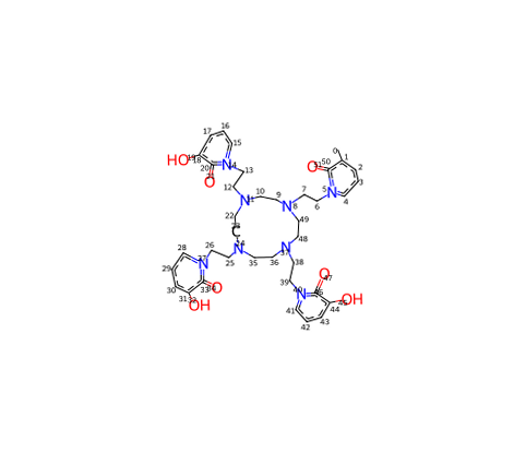 Cc1cccn(CCN2CCN(CCn3cccc(O)c3=O)CCN(CCn3cccc(O)c3=O)CCN(CCn3cccc(O)c3=O)CC2)c1=O